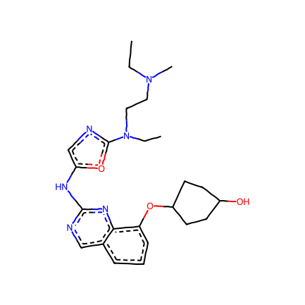 CCN(C)CCN(CC)c1ncc(Nc2ncc3cccc(OC4CCC(O)CC4)c3n2)o1